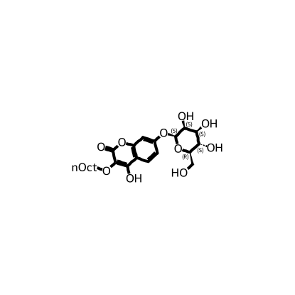 CCCCCCCCOc1c(O)c2ccc(O[C@@H]3O[C@H](CO)[C@@H](O)[C@H](O)[C@@H]3O)cc2oc1=O